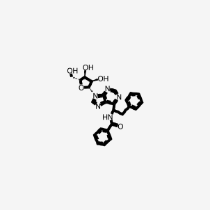 O=C(NC(Cc1ccccc1)c1ncnc2c1ncn2[C@@H]1O[C@H](CO)[C@@H](O)[C@H]1O)c1ccccc1